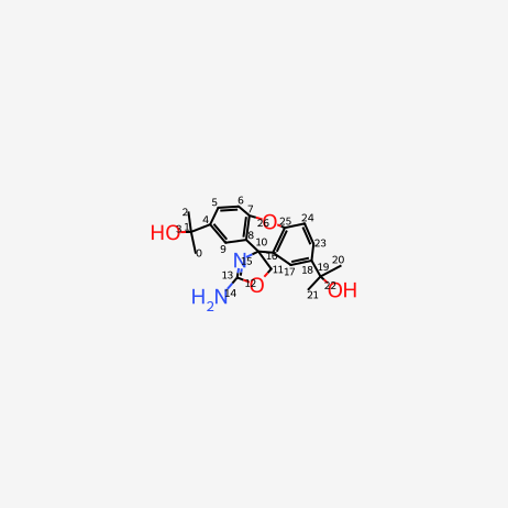 CC(C)(O)c1ccc2c(c1)C1(COC(N)=N1)c1cc(C(C)(C)O)ccc1O2